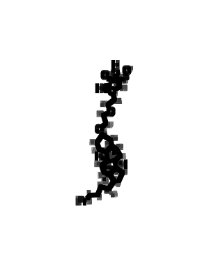 CC(C)CCC[C@@H](C)[C@H]1CC[C@H]2[C@@H]3CC=C4C[C@@H](OCCOCCOCC(O)(P=O)[PH](=O)O)CC[C@]4(C)[C@H]3CC[C@]12C